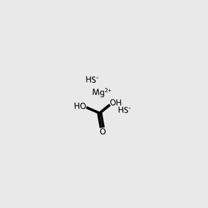 O=C(O)O.[Mg+2].[SH-].[SH-]